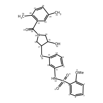 COc1ccccc1S(=O)(=O)Nc1cccc(OC2CN(C(=O)c3cc(C)ccc3C)CC2O)c1